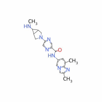 CNC1C2CN(c3cnc(C(=O)Nc4cc(C)c5nc(C)cn5c4)cn3)CC21